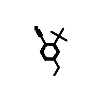 CCc1ccc(C#N)c(C(C)(C)C)c1